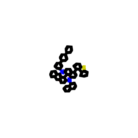 c1ccc(-c2ccc(-c3cccc(N(c4ccccc4-c4ccccc4N(c4ccc(-c5cccc6sc7ccccc7c56)cc4)c4cccc5ccccc45)c4cccc5ccccc45)c3)cc2)cc1